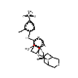 Cc1c(Nc2ccc(S(C)(=O)=O)cc2F)ncnc1OC1CC2COCC(C1)N2C(=O)OC1(C)CCC1